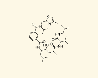 Cc1csc(CN(C(=O)c2cccc(C(=O)NC(CC(C)C)C(O)CC(C)C(=O)NC(C(=O)NCC(C)C)C(C)C)c2)C(C)C)n1